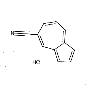 Cl.N#Cc1cccc2cccc-2c1